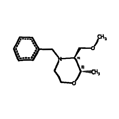 COC[C@H]1[C@H](C)OCCN1Cc1ccccc1